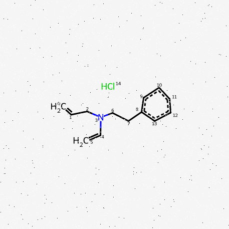 C=CCN(C=C)CCc1ccccc1.Cl